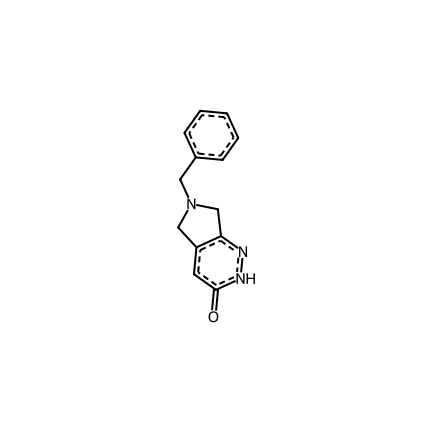 O=c1cc2c(n[nH]1)CN(Cc1ccccc1)C2